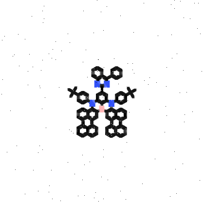 CC(C)(C)c1ccc(N2c3cc(-c4nc(-c5ccccc5)c5ccccc5n4)cc4c3B(c3cc5c6cccc7cccc(c8cccc(c32)c85)c76)c2cc3c5cccc6cccc(c7cccc(c2N4c2ccc(C(C)(C)C)cc2)c73)c65)cc1